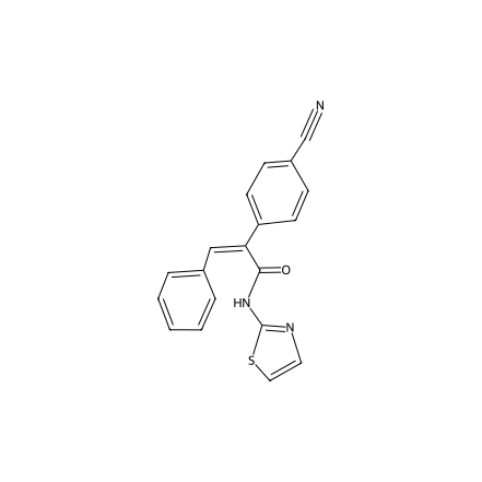 N#Cc1ccc(C(=Cc2ccccc2)C(=O)Nc2nccs2)cc1